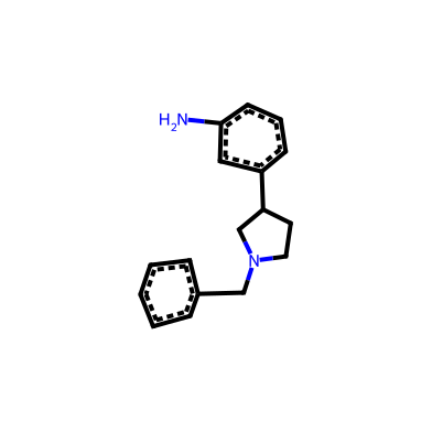 Nc1cccc(C2CCN(Cc3ccccc3)C2)c1